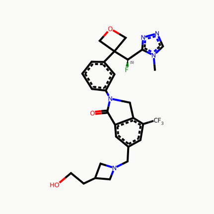 Cn1cnnc1[C@@H](F)C1(c2cccc(N3Cc4c(cc(CN5CC(CCO)C5)cc4C(F)(F)F)C3=O)c2)COC1